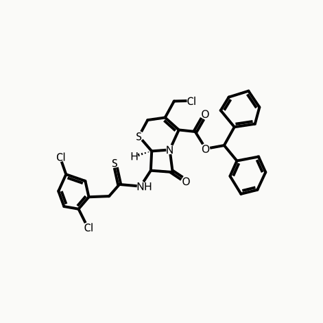 O=C(OC(c1ccccc1)c1ccccc1)C1=C(CCl)CS[C@@H]2C(NC(=S)Cc3cc(Cl)ccc3Cl)C(=O)N12